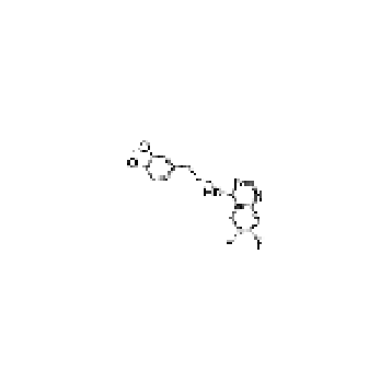 Fc1cc2ncnc(NCCCc3ccc4c(c3)OCO4)c2cc1F